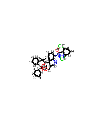 CC(C)(C)C(O[SiH](c1ccccc1)c1ccccc1)c1c(CO)cnc2c(NC(=O)c3c(Cl)cccc3Cl)cccc12